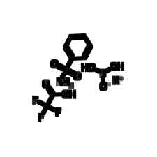 NS(=O)(=O)c1ccccc1.O=C(O)C(F)(F)F.[K+].[O-]B(O)O